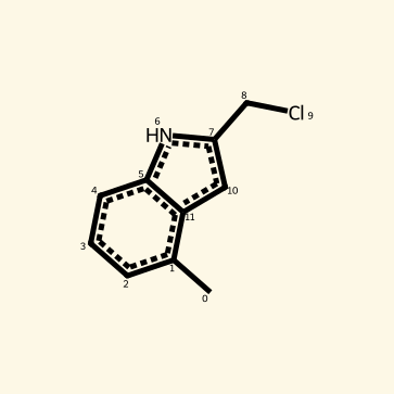 Cc1cccc2[nH]c(CCl)cc12